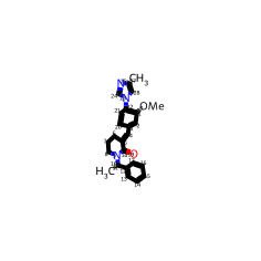 COc1cc(C=C2CCCN([C@@H](C)c3ccccc3)C2=O)ccc1-n1cnc(C)c1